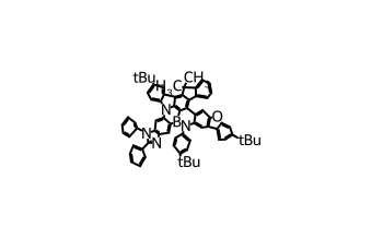 CC(C)(C)c1ccc(N2B3c4cc5nc(-c6ccccc6)n(-c6ccccc6)c5cc4-n4c5ccc(C(C)(C)C)cc5c5c6c(c(c3c54)-c3cc4oc5cc(C(C)(C)C)ccc5c4cc32)-c2ccccc2C6(C)C)cc1